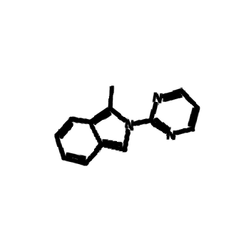 Cc1c2ccccc2cn1-c1ncccn1